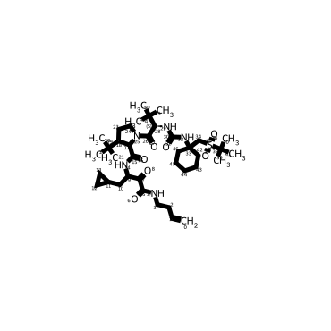 C=CCCNC(=O)C(=O)C(CC1CC1)NC(=O)C1C(C(C)(C)C)CCN1C(=O)[C@@H](NC(=O)NC1(CS(=O)(=O)C(C)(C)C)CCCCC1)C(C)(C)C